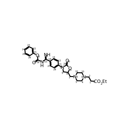 CCOC(=O)CCN1CCN(CC2CN(c3ccc(C(=N)NC(=O)Oc4ccccc4)cc3)C(=O)O2)CC1